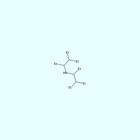 CCC(CC)C(CC)NC(CC)C(CC)CC